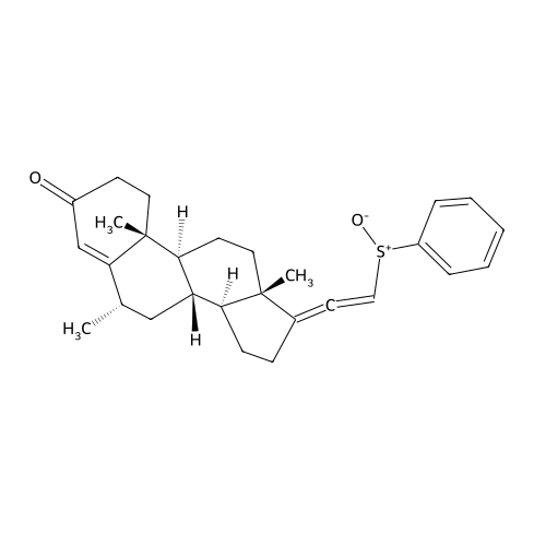 C[C@H]1C[C@@H]2[C@H](CC[C@]3(C)C(=C=C[S+]([O-])c4ccccc4)CC[C@@H]23)[C@@]2(C)CCC(=O)C=C12